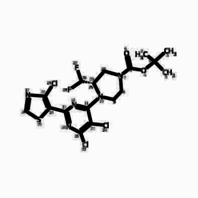 CC(C)(C)OC(=O)N1CCN(c2nc(-c3scnc3Cl)nc(Cl)c2Cl)[C@H](C(F)F)C1